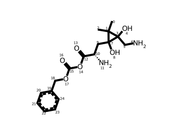 CC1(C)C(O)(CN)C1(O)C[C@H](N)C(=O)OC(=O)OCc1ccccc1